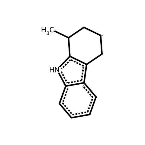 CC1C[CH]Cc2c1[nH]c1ccccc21